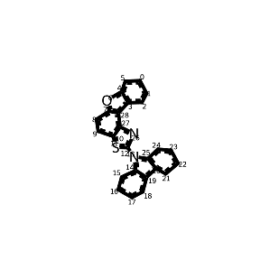 c1ccc2c(c1)oc1ccc3sc(-n4c5ccccc5c5ccccc54)nc3c12